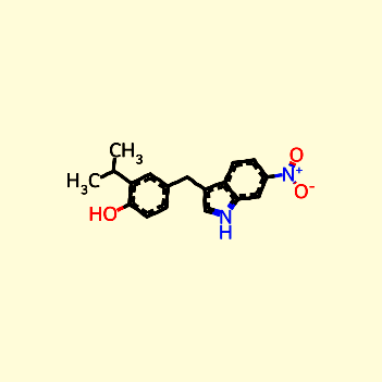 CC(C)c1cc(Cc2c[nH]c3cc([N+](=O)[O-])ccc23)ccc1O